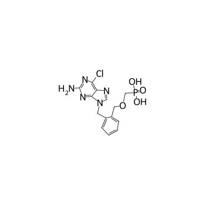 Nc1nc(Cl)c2ncn(Cc3ccccc3COCP(=O)(O)O)c2n1